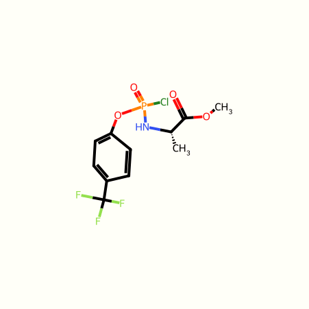 COC(=O)[C@H](C)NP(=O)(Cl)Oc1ccc(C(F)(F)F)cc1